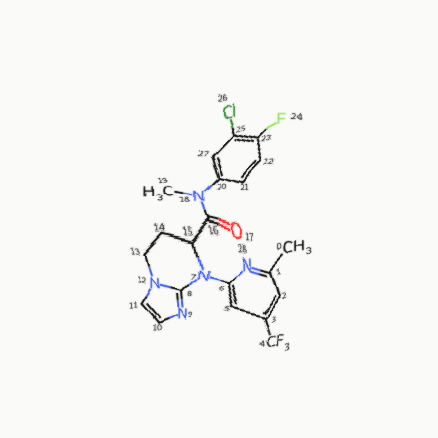 Cc1cc(C(F)(F)F)cc(N2c3nccn3CCC2C(=O)N(C)c2ccc(F)c(Cl)c2)n1